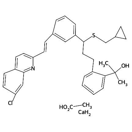 CC(=O)O.CC(C)(O)c1ccccc1CCC(SCC1CC1)c1cccc(/C=C/c2ccc3ccc(Cl)cc3n2)c1.[CaH2]